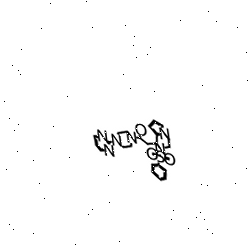 O=C(CC1c2cccn2CCN1S(=O)(=O)c1ccccc1)N1CCN(c2ncccn2)CC1